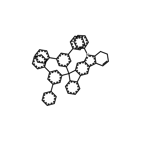 C1=Cc2c(n(-c3ccccc3)c3cc4c(cc23)-c2ccccc2C4(c2cc(-c3ccccc3)cc(-c3ccccc3)c2)c2cc(-c3ccccc3)cc(-c3ccccc3)c2)CC1